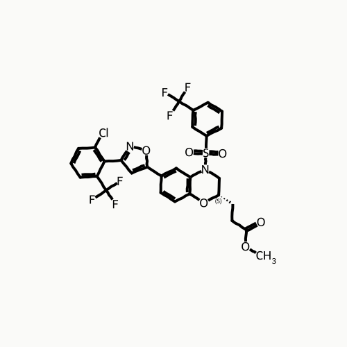 COC(=O)CC[C@H]1CN(S(=O)(=O)c2cccc(C(F)(F)F)c2)c2cc(-c3cc(-c4c(Cl)cccc4C(F)(F)F)no3)ccc2O1